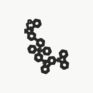 c1ccc([Si](c2ccccc2)(c2cccc(-c3ccc4nc5n(c4c3)-c3ccccc3OC5)c2)c2cccc(-n3c4ccccc4c4cc(-n5c6ccccc6c6ccccc65)ccc43)c2)cc1